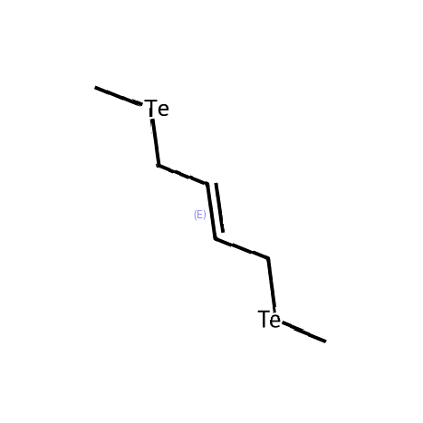 C[Te]C/C=C/C[Te]C